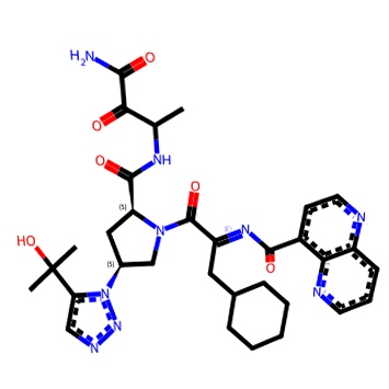 CC(NC(=O)[C@@H]1C[C@H](n2nncc2C(C)(C)O)CN1C(=O)/C(CC1CCCCC1)=N/C(=O)c1ccnc2cccnc12)C(=O)C(N)=O